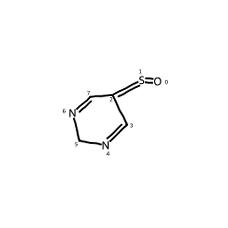 O=S=C1C=NCN=C1